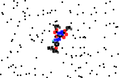 CCOC(=O)NC(=O)C(=NNc1ccc(OC(C)C)cc1F)C(=O)NC(=O)OCC